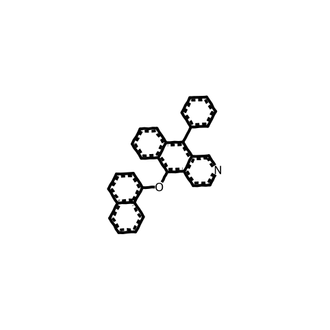 c1ccc(-c2c3ccccc3c(Oc3cccc4ccccc34)c3ccncc23)cc1